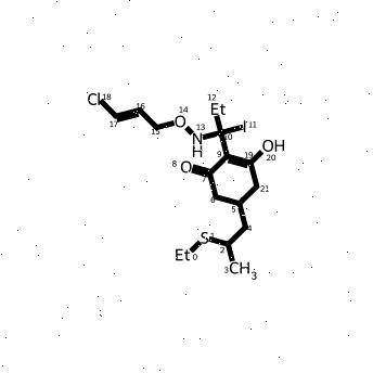 CCSC(C)CC1CC(=O)C(C(I)(CC)NOCC=CCl)=C(O)C1